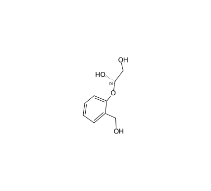 OCc1ccccc1O[C@H](O)CO